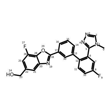 Cn1cnnc1-c1cc(F)ccc1-c1cccc(-c2nc3cc(CO)cc(F)c3o2)c1